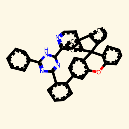 c1ccc(C2=NC(c3ccccc3-c3ccc4c(c3)Oc3ccccc3C43c4ccccc4-c4ccccc43)=NC(c3ccccn3)N2)cc1